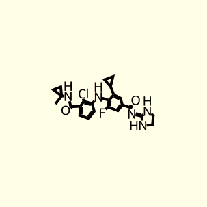 CC1(NC(=O)c2cccc(Nc3c(F)cc(C(=O)N=C4NCCN4)cc3C3CC3)c2Cl)CC1